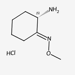 CON=C1CCCC[C@@H]1N.Cl